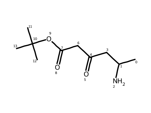 CC(N)CC(=O)CC(=O)OC(C)(C)C